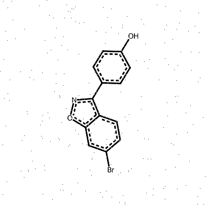 Oc1ccc(-c2noc3cc(Br)ccc23)cc1